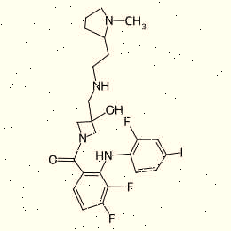 CN1CCCC1CCNCC1(O)CN(C(=O)c2ccc(F)c(F)c2Nc2ccc(I)cc2F)C1